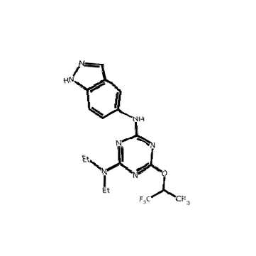 CCN(CC)c1nc(Nc2ccc3[nH]ncc3c2)nc(OC(C(F)(F)F)C(F)(F)F)n1